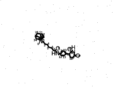 CN(CCCCCCC(=O)Nc1ccc(C2CCC(=O)NC2=O)cc1)C12CC3CC(CC(C3)C1)C2